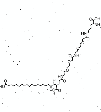 N[C@@H](CCCCNC(=O)COCCOCCNC(=O)COCCOCCNC(=O)CC[C@H](NC(=O)CCCCCCCCCCCCCCCCC(=O)O)C(=O)O)C(=O)O